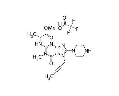 CC#CCn1c(N2CCNCC2)nc2nc(NC(C)C(=O)OC)n(C)c(=O)c21.O=C(O)C(F)(F)F